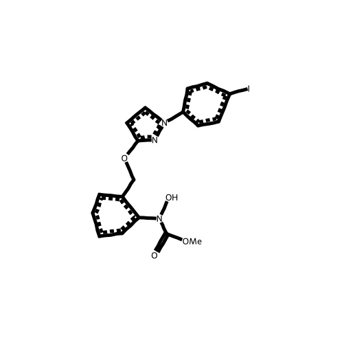 COC(=O)N(O)c1ccccc1COc1ccn(-c2ccc(I)cc2)n1